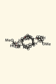 COCCNC(=O)c1ccc(C(=O)NCCCN2CCCNC(=O)c3ccc(c(O)c3O)C(=O)NCCCN(CCCNC(=O)c3ccc(C(=O)NCCOC)c(O)c3O)CCCNC(=O)c3ccc(c(O)c3O)C(=O)NCCC2)c(O)c1O